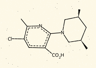 Cc1nc(N2C[C@H](C)C[C@H](C)C2)c(C(=O)O)cc1Cl